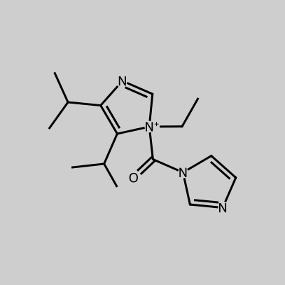 CC[N+]1(C(=O)n2ccnc2)C=NC(C(C)C)=C1C(C)C